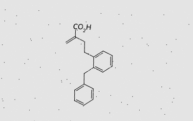 C=C(CCc1ccccc1Cc1ccccc1)C(=O)O